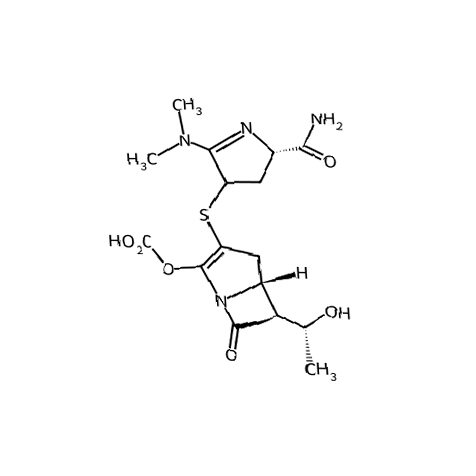 C[C@@H](O)[C@H]1C(=O)N2C(OC(=O)O)=C(SC3C[C@@H](C(N)=O)N=C3N(C)C)C[C@H]12